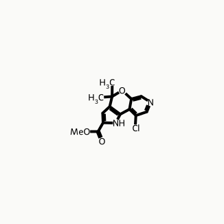 COC(=O)c1cc2c([nH]1)-c1c(Cl)cncc1OC2(C)C